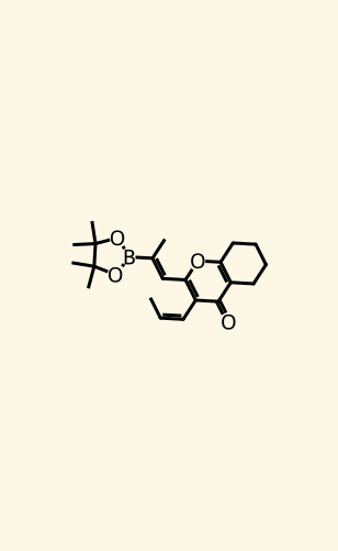 C/C=C\c1c(/C=C(\C)B2OC(C)(C)C(C)(C)O2)oc2c(c1=O)CCCC2